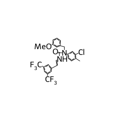 COc1cccc(CN(C(=O)N/C=C/c2cc(C(F)(F)F)cc(C(F)(F)F)c2)c2ccc(C)c(Cl)c2)c1